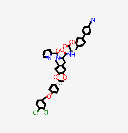 N#Cc1ccc(-c2ccc(C[C@H](NC(=O)C3Cc4cc5c(cc4CN3C(=O)c3ccccn3)O[C@@H](c3ccc(OCc4ccc(Cl)c(Cl)c4)cc3)CO5)C(=O)O)cc2)cc1